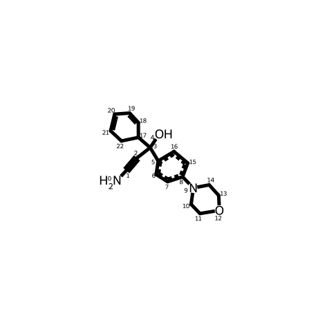 NC#CC(O)(c1ccc(N2CCOCC2)cc1)C1C=CC=CC1